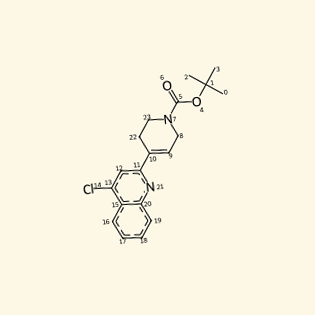 CC(C)(C)OC(=O)N1CC=C(c2cc(Cl)c3ccccc3n2)CC1